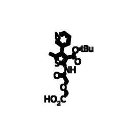 Cc1sc(NC(=O)COCC(=O)O)c(C(=O)OC(C)(C)C)c1-c1cccnc1